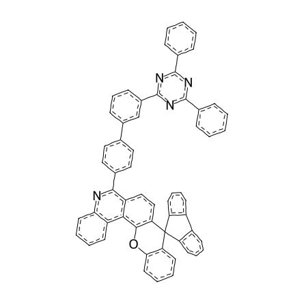 c1ccc(-c2nc(-c3ccccc3)nc(-c3cccc(-c4ccc(-c5nc6ccccc6c6c7c(ccc56)C5(c6ccccc6O7)c6ccccc6-c6ccccc65)cc4)c3)n2)cc1